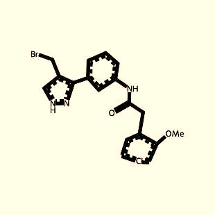 COc1ccccc1CC(=O)Nc1cccc(-c2n[nH]cc2CBr)c1